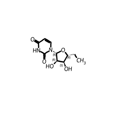 CC[C@H]1O[C@@H](n2ccc(=O)[nH]c2=O)[C@H](O)[C@@H]1O